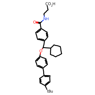 CC(C)(C)c1ccc(-c2ccc(OC(c3ccc(C(=O)NCCC(=O)O)cc3)C3CCCCC3)cc2)cc1